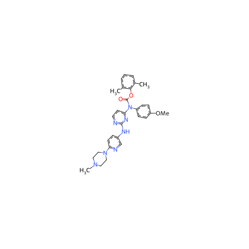 COc1ccc(N(C(=O)Oc2c(C)cccc2C)c2ccnc(Nc3ccc(N4CCN(C)CC4)nc3)n2)cc1